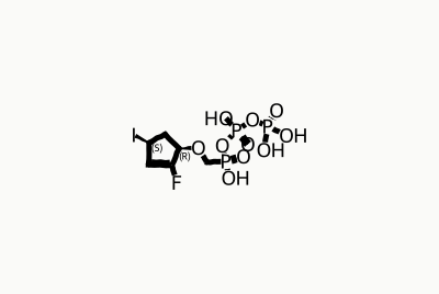 O=P(O)(O)OP(=O)(O)OP(=O)(O)CO[C@@H]1C[C@H](I)C=C1F